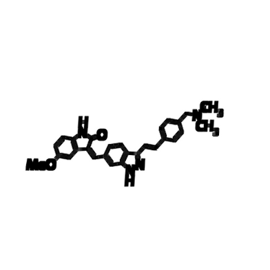 COc1ccc2c(c1)/C(=C/c1ccc3c(/C=C/c4ccc(CN(C)C)cc4)n[nH]c3c1)C(=O)N2